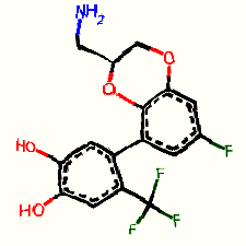 NC[C@H]1COc2cc(F)cc(-c3cc(O)c(O)cc3C(F)(F)F)c2O1